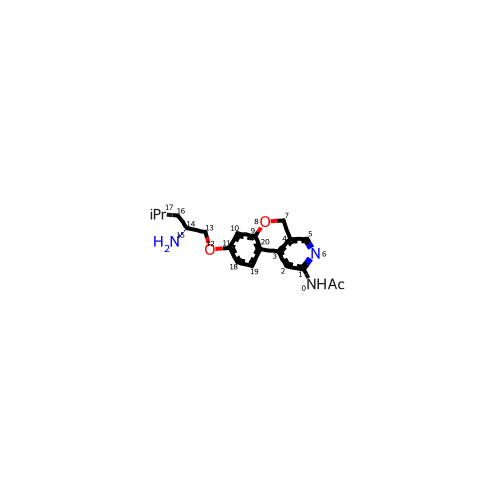 CC(=O)Nc1cc2c(cn1)COc1cc(OC[C@H](N)CC(C)C)ccc1-2